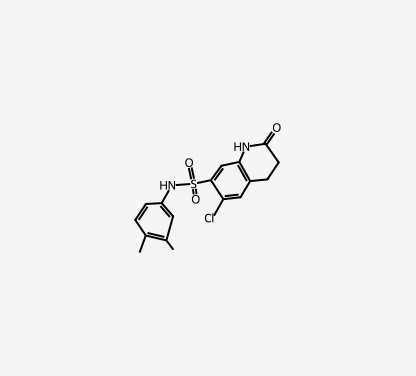 Cc1ccc(NS(=O)(=O)c2cc3c(cc2Cl)CCC(=O)N3)cc1C